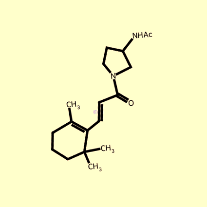 CC(=O)NC1CCN(C(=O)/C=C/C2=C(C)CCCC2(C)C)C1